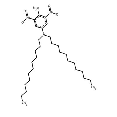 CCCCCCCCCCCCN(CCCCCCCCCCCC)c1cc([N+](=O)[O-])c(N)c([N+](=O)[O-])c1